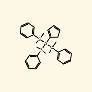 C[Si](C)(c1ccccc1)[Zr]([C]1=CC=CC1)([Si](C)(C)c1ccccc1)[Si](C)(C)c1ccccc1